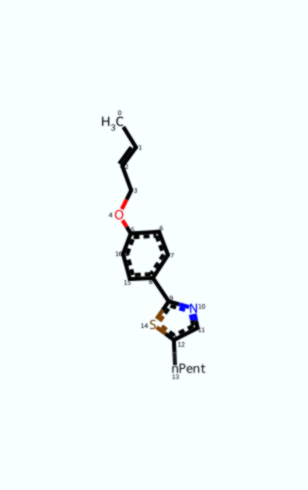 CC=CCOc1ccc(-c2ncc(CCCCC)s2)cc1